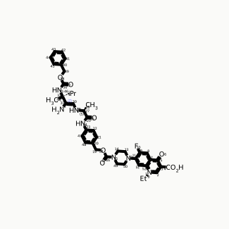 CCn1cc(C(=O)O)c(=O)c2cc(F)c(N3CCN(C(=O)OCc4ccc(NC(=O)[C@H](C)N/C=C(\N)[C@@](C)(NC(=O)OCc5ccccc5)C(C)C)cc4)CC3)cc21